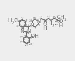 Cc1ccc2c(N3CCN(C[C@H](O)CCCC(C)(C)O)CC3)nc(-c3ccccc3O)nc2c1